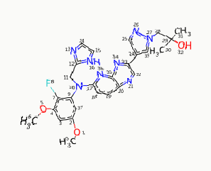 COc1cc(OC)c(F)c(N(Cc2ncc[nH]2)c2ccc3ncc(-c4cnn(CC(C)(C)O)c4)nc3n2)c1